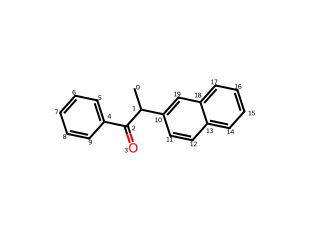 CC(C(=O)c1ccccc1)c1ccc2ccccc2c1